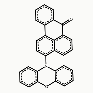 O=C1c2ccccc2-c2ccc(N3c4ccccc4Oc4ccccc43)c3cccc1c23